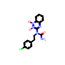 NC(=O)N(CCc1ccc(Cl)cc1)c1nc2ccccc2[n+]([O-])[n+]1[O-]